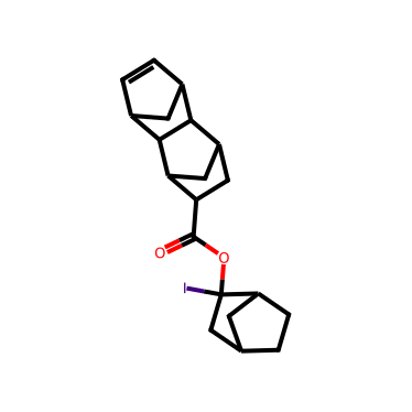 O=C(OC1(I)CC2CCC1C2)C1CC2CC1C1C3C=CC(C3)C21